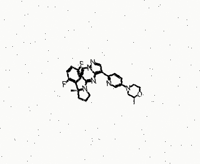 C[C@H]1CN(c2ccc(-c3cnn4ccc(N5CCC[C@]5(C)c5cc(F)ccc5F)nc34)nc2)CCO1